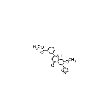 COC(=O)c1cccc(-c2cc(=O)c3cc(-c4ccno4)c(OC)cc3[nH]2)c1